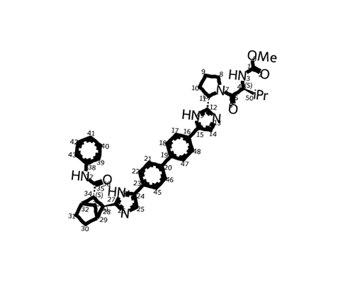 COC(=O)N[C@H](C(=O)N1CCC[C@H]1c1ncc(-c2ccc(-c3ccc(-c4cnc([C@H]5C6CCC(C6)[C@@H]5C(=O)Nc5ccccc5)[nH]4)cc3)cc2)[nH]1)C(C)C